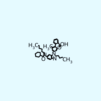 CCCCCCN(C(=O)C1CCCCC1)c1ccc2nc(CCCC)n(-c3ccc(-c4ccccc4C(=O)O)c(C)c3)c2c1